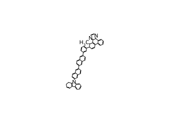 CC1c2c(c3ccccc3c3nccnc23)C=CC1c1cccc(-c2ccc3cc(-c4ccc5cc(-n6c7c(c8ccccc86)C=CCC7)ccc5c4)ccc3c2)c1